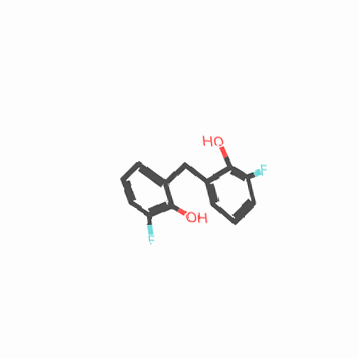 Oc1c(F)cccc1Cc1cccc(F)c1O